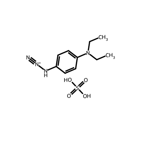 CCN(CC)c1ccc(N[N+]#N)cc1.O=S(=O)(O)O